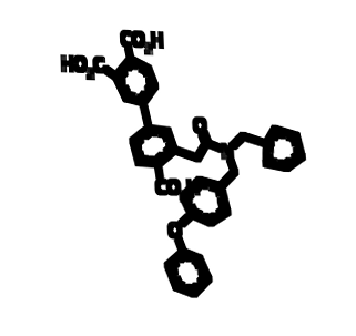 O=C(O)c1ccc(-c2ccc(C(=O)O)c(C(=O)O)c2)cc1CC(=O)N(Cc1ccccc1)Cc1ccc(Oc2ccccc2)cc1